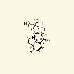 CC(C)(C)OC(=O)N1CCc2c(F)ccc(C(=O)O)c21